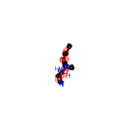 Cc1cc(C[C@H](NC(=O)[C@@H]2Cc3cc4c(cc3CN2Cc2ccccc2)OC(c2ccc(OCC3CCCCC3)cc2)CO4)C(=O)O)ccc1Oc1ccnc(C)c1C